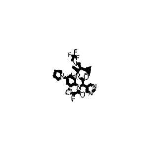 O=C(Nc1cn(CC(F)(F)F)cc1C1CC1)C(c1cncnc1)N(C(=O)C(F)Cl)c1ccc(N2CCCC2)cc1F